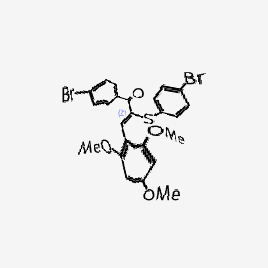 COc1cc(OC)c(/C=C(\Sc2ccc(Br)cc2)C(=O)c2ccc(Br)cc2)c(OC)c1